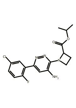 CC(C)OC(=O)C1CCN1c1nnc(-c2cc(Cl)ccc2F)cc1N